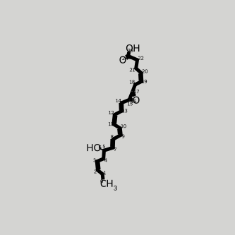 CC/C=C\C[C@H](O)/C=C/C=C\C=C/C=C/C1OC1C/C=C\CCC(=O)O